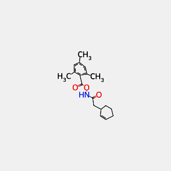 Cc1cc(C)c(C(=O)ONC(=O)CC2C=CCCC2)c(C)c1